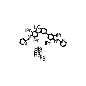 Br.Br.Br.Br.Cc1ccc(-c2cc(C(C)C)c(N=Cc3ccccn3)c(C(C)C)c2)cc1-c1cc(C(C)C)c(N=Cc2ccccn2)c(C(C)C)c1.[Pd].[Pd]